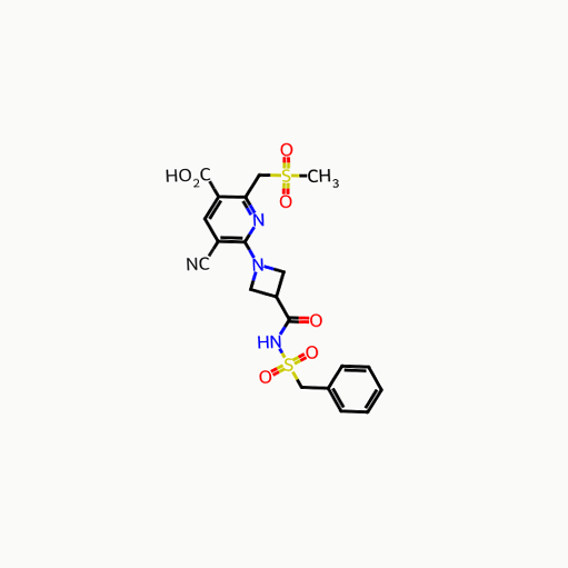 CS(=O)(=O)Cc1nc(N2CC(C(=O)NS(=O)(=O)Cc3ccccc3)C2)c(C#N)cc1C(=O)O